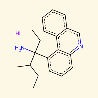 CCC(C)C(N)(CC)c1cccc2ncc3ccccc3c12.I